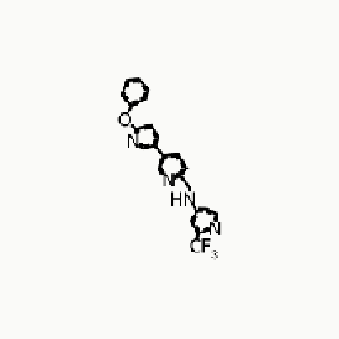 FC(F)(F)c1cc(NCc2ccc(-c3ccc(Oc4ccccc4)nc3)cn2)ccn1